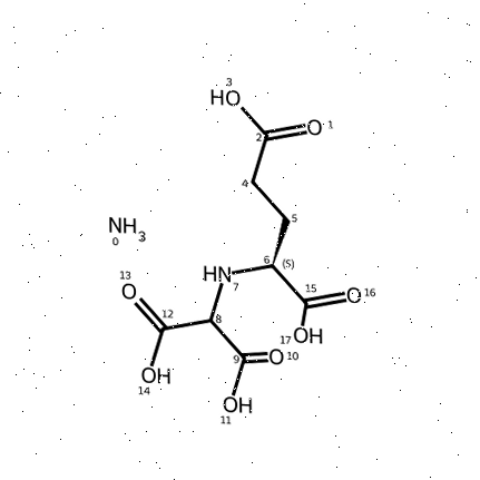 N.O=C(O)CC[C@H](NC(C(=O)O)C(=O)O)C(=O)O